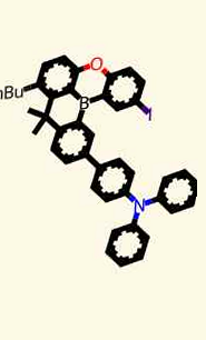 CCCCc1ccc2c3c1C(C)(C)c1ccc(-c4ccc(N(c5ccccc5)c5ccccc5)cc4)cc1B3c1cc(I)ccc1O2